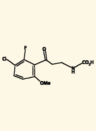 COc1ccc(Cl)c(F)c1C(=O)CCNC(=O)O